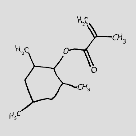 C=C(C)C(=O)OC1C(C)CC(C)CC1C